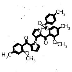 COc1cc(C)ccc1C(=O)c1cccn1-c1ccn(S(=O)(=O)c2ccc(C)cc2)c1C(=O)c1ccc(C)cc1OC